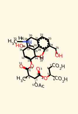 CC(=O)O[C@@H](C(=O)O[C@@H](CC(=O)O)C(=O)O)[C@@H](C)C(=O)OC1=CC[C@@]2(O)[C@H]3Cc4ccc(CO)c5c4[C@@]2(CCN3C)[C@H]1O5